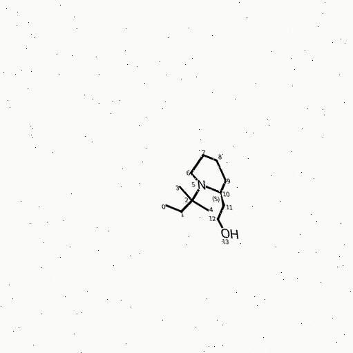 CCC(C)(C)N1CCCC[C@H]1CCO